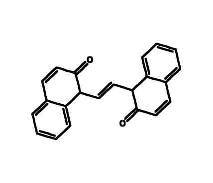 O=C1C=Cc2ccccc2C1C=CC1C(=O)C=Cc2ccccc21